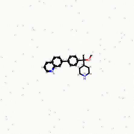 COC(C)(c1ccc(-c2ccc3cccnc3c2)cc1)C1CCNCC1